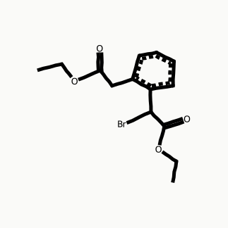 CCOC(=O)Cc1ccccc1C(Br)C(=O)OCC